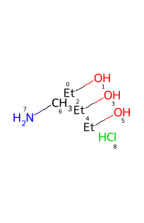 CCO.CCO.CCO.CN.Cl